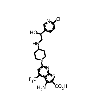 Nc1c(C(=O)O)sc2nc(N3CCC(NCC(O)c4ccc(Cl)nc4)CC3)cc(C(F)(F)F)c12